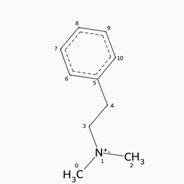 C[N+](C)CCc1ccccc1